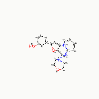 Oc1cccc(C2C=C3C(=C(N4CCOCC4)N=C4C=CC=CN34)O2)c1